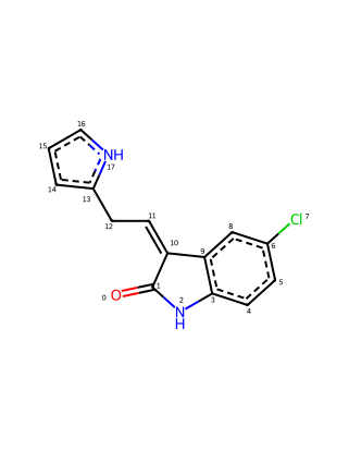 O=C1Nc2ccc(Cl)cc2C1=CCc1ccc[nH]1